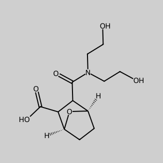 O=C(O)C1C(C(=O)N(CCO)CCO)[C@H]2CC[C@@H]1O2